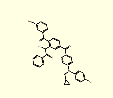 O=C(c1ccc(C(=O)c2cccc(O)c2)c(C(O)C(=O)c2ccccc2)c1)c1ccc(N(CC2CC2)c2ccc(Cl)cc2)cn1